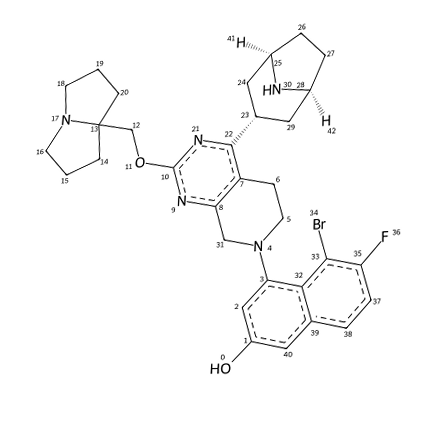 Oc1cc(N2CCc3c(nc(OCC45CCCN4CCC5)nc3[C@@H]3C[C@H]4CC[C@@H](C3)N4)C2)c2c(Br)c(F)ccc2c1